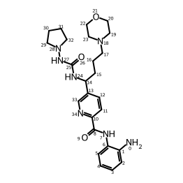 Nc1ccccc1NC(=O)c1ccc(C(CCCN2CCOCC2)NC(=O)NN2CCCC2)cn1